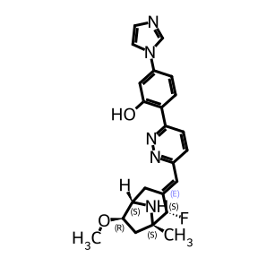 CO[C@@H]1C[C@]2(C)N[C@H]1C/C(=C\c1ccc(-c3ccc(-n4ccnc4)cc3O)nn1)[C@@H]2F